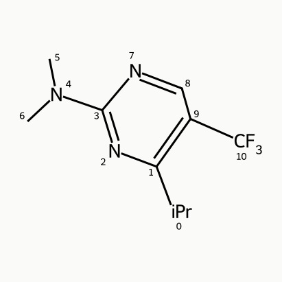 CC(C)c1nc(N(C)C)ncc1C(F)(F)F